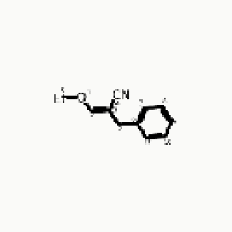 CCO/C=C(\C#N)Cc1ccccc1